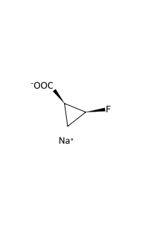 O=C([O-])[C@@H]1C[C@@H]1F.[Na+]